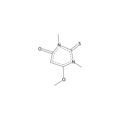 COc1cc(=O)n(C)c(=S)n1C